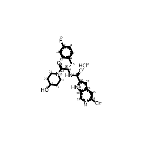 Cl.O=C(N[C@@H](Cc1ccc(F)cc1)C(=O)N1CCC(O)CC1)c1cc2cc(Cl)ncc2[nH]1